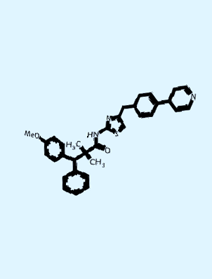 COc1ccc(C(c2ccccc2)C(C)(C)C(=O)Nc2nc(CC3C=CC(C4C=CN=CC4)=CC3)cs2)cc1